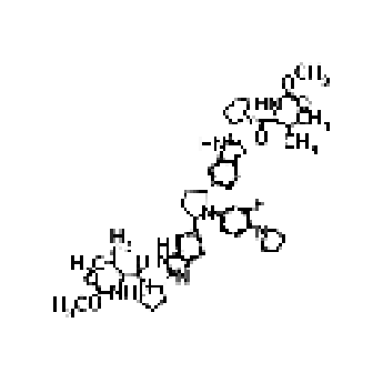 COC(=O)N[C@H](C(=O)N1CCC[C@H]1c1nc2ccc([C@H]3CC[C@H](c4ccc5nc([C@@H]6CCCN6C(=O)[C@@H](NC(=O)OC)C(C)C)[nH]c5c4)N3c3ccc(N4CCCC4)c(F)c3)cc2[nH]1)C(C)C